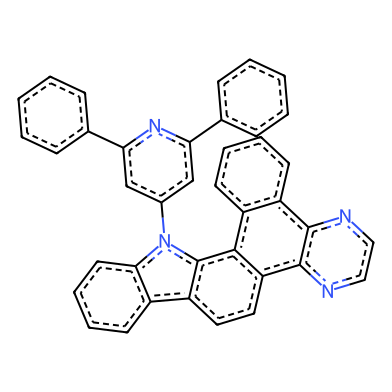 c1ccc(-c2cc(-n3c4ccccc4c4ccc5c6nccnc6c6ccccc6c5c43)cc(-c3ccccc3)n2)cc1